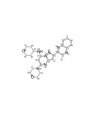 Cc1nc2ccccc2nc1-c1cc2nc(N3CCOCC3)cc(NC3CCOCC3)n2n1